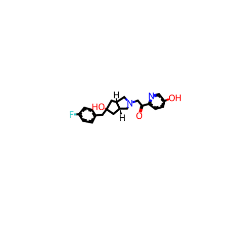 O=C(CN1C[C@@H]2C[C@](O)(Cc3ccc(F)cc3)C[C@@H]2C1)c1ccc(O)cn1